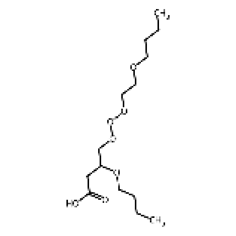 CCCCOCCOOOCC(CC(=O)O)OCCCC